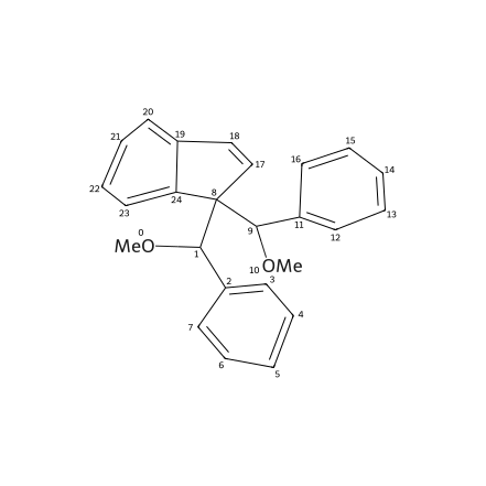 COC(c1ccccc1)C1(C(OC)c2ccccc2)C=Cc2ccccc21